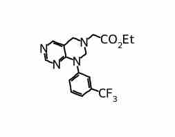 CCOC(=O)CN1Cc2cncnc2N(c2cccc(C(F)(F)F)c2)C1